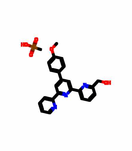 COc1ccc(-c2cc(-c3ccccn3)nc(-c3cccc(CO)n3)c2)cc1.CS(=O)(=O)O